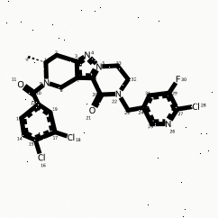 C[C@@H]1Cc2nn3c(c2CN1C(=O)c1ccc(Cl)c(Cl)c1)C(=O)N(Cc1cnc(Cl)c(F)c1)CC3